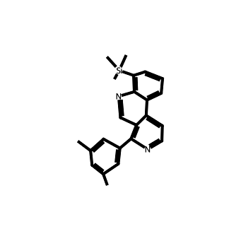 Cc1cc(C)cc(-c2nccc3c2cnc2c([Si](C)(C)C)cccc23)c1